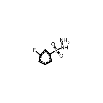 NNS(=O)(=O)c1cccc(F)c1